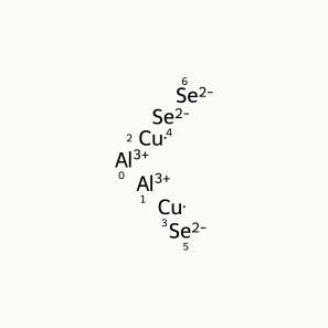 [Al+3].[Al+3].[Cu].[Cu].[Se-2].[Se-2].[Se-2]